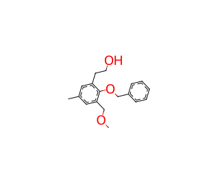 COCc1cc(C)cc(CCO)c1OCc1ccccc1